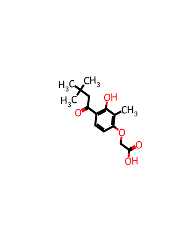 Cc1c(OCC(=O)O)ccc(C(=O)CC(C)(C)C)c1O